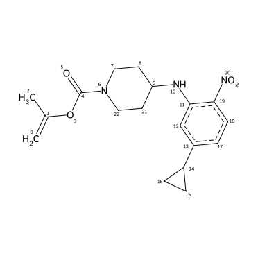 C=C(C)OC(=O)N1CCC(Nc2cc(C3CC3)ccc2[N+](=O)[O-])CC1